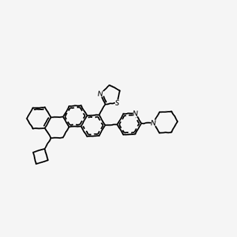 C1=CC2=C(CC1)C(C1CCC1)Cc1c2ccc2c(C3=NCCS3)c(-c3ccc(N4CCCCC4)nc3)ccc12